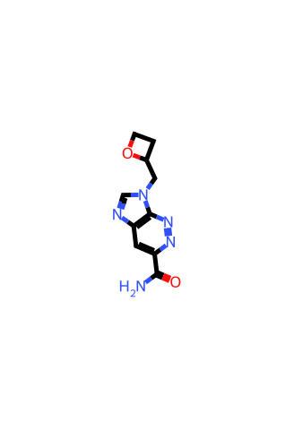 NC(=O)c1cc2ncn(CC3CCO3)c2nn1